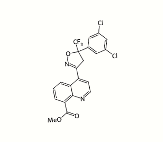 COC(=O)c1cccc2c(C3=NOC(c4cc(Cl)cc(Cl)c4)(C(F)(F)F)C3)ccnc12